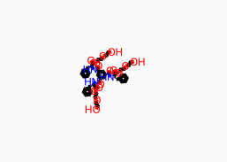 O=C(N[C@@H](Cc1ccccc1)C(=O)OCCOCCO)C1C[C@H](C(=O)N[C@@H](Cc2ccccc2)C(=O)OCCOCCO)C[C@H](C(=O)N[C@@H](Cc2ccccc2)C(=O)OCCOCCO)C1